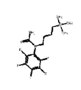 CC(=O)O[Si](CCCCN(C(N)=O)c1c(F)c(F)c(F)c(F)c1F)(OC(C)=O)OC(C)=O